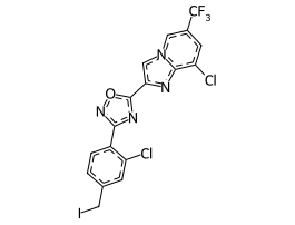 FC(F)(F)c1cc(Cl)c2nc(-c3nc(-c4ccc(CI)cc4Cl)no3)cn2c1